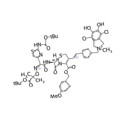 COc1ccc(COC(=O)C2=C(/C=C/c3ccc(C[N+]4(C)Cc5c(Cl)c(O)c(O)c(Cl)c5C4)cc3)CS[C@@H]3[C@H](NC(=O)/C(=N\OC(C)(C)C(=O)OC(C)(C)C)c4csc(NC(=O)OC(C)(C)C)n4)C(=O)N23)cc1